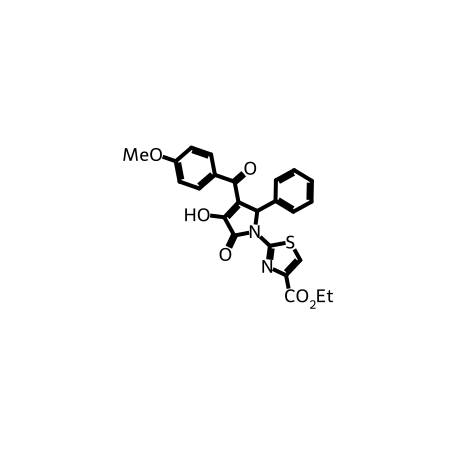 CCOC(=O)c1csc(N2C(=O)C(O)=C(C(=O)c3ccc(OC)cc3)C2c2ccccc2)n1